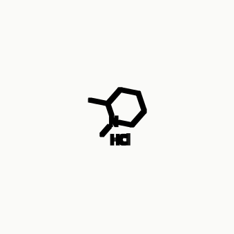 CC1CCCCN1C.Cl